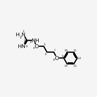 N=C(N)NOCCCOc1cc[c]cc1